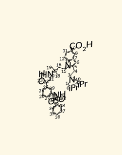 CC(C)CN(CCc1cc2cc(C(=O)O)ccc2n1CCC(C)(C)NC[C@H](O)c1cccc(NS(=O)(=O)c2ccccc2)c1)CC(C)C